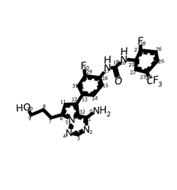 Nc1ncnn2c(CCCO)cc(-c3ccc(NC(=O)Nc4cc(C(F)(F)F)ccc4F)c(F)c3)c12